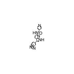 O=C(Nc1ccc2c(-c3ccn4ncnc4c3)c[nH]c2n1)c1ccncc1